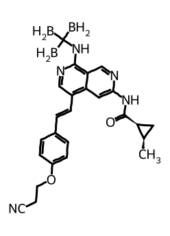 BC(B)(B)Nc1ncc(/C=C/c2ccc(OCCC#N)cc2)c2cc(NC(=O)[C@H]3C[C@H]3C)ncc12